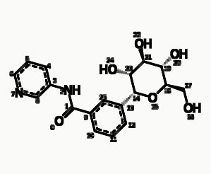 O=C(Nc1cccnc1)c1cccc([C@H]2O[C@H](CO)[C@@H](O)[C@H](O)[C@H]2O)c1